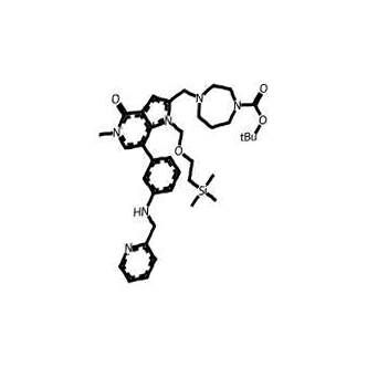 Cn1cc(-c2cccc(NCc3ccccn3)c2)c2c(cc(CN3CCCN(C(=O)OC(C)(C)C)CC3)n2COCC[Si](C)(C)C)c1=O